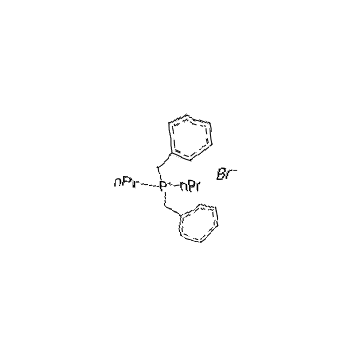 CCC[P+](CCC)(Cc1ccccc1)Cc1ccccc1.[Br-]